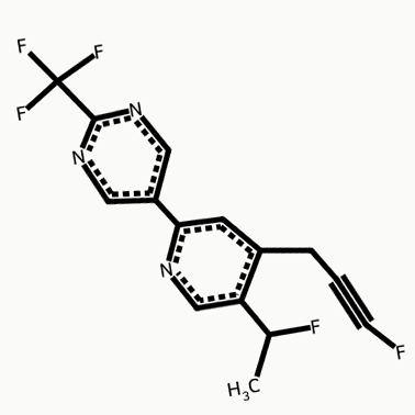 CC(F)c1cnc(-c2cnc(C(F)(F)F)nc2)cc1CC#CF